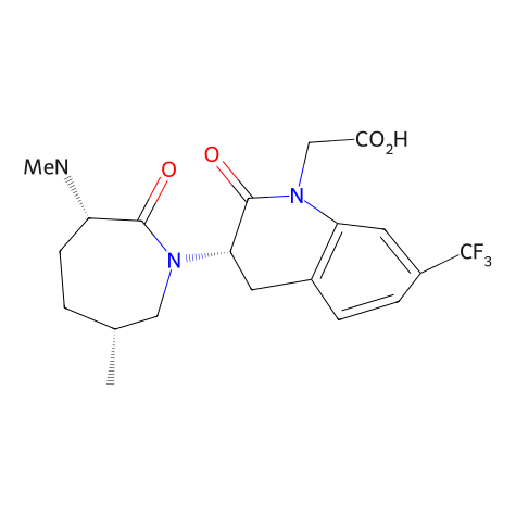 CN[C@H]1CC[C@@H](C)CN([C@H]2Cc3ccc(C(F)(F)F)cc3N(CC(=O)O)C2=O)C1=O